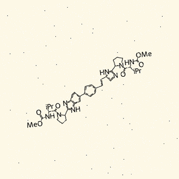 COC(=O)NC(C(=O)N1CCCC1c1ncc(/C=C/c2ccc(-c3ccc4nc(C5CCCN5C(=O)C(NC(=O)OC)C(C)C)[nH]c4c3)cc2)[nH]1)C(C)C